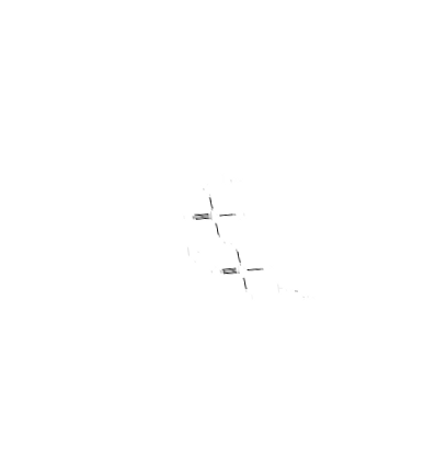 O.O=P([O-])([O-])[O-].O=P([O-])([O-])[O-].[Fe+2].[Fe+2].[Fe+2]